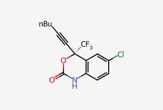 CCCCC#C[C@]1(C(F)(F)F)OC(=O)Nc2ccc(Cl)cc21